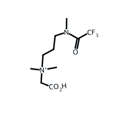 CN(CCC[N+](C)(C)CC(=O)O)C(=O)C(F)(F)F